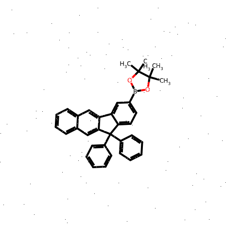 CC1(C)OB(c2ccc3c(c2)-c2cc4ccccc4cc2C3(c2ccccc2)c2ccccc2)OC1(C)C